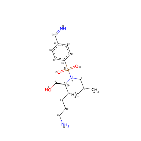 CC(C)CN([C@H](CO)CCCCN)S(=O)(=O)c1ccc(C=N)cc1